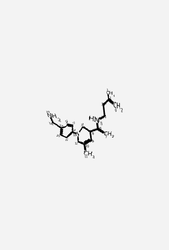 C=C(C)CCNC(=C)C1C=C(C)CN(c2ccc(CN)cc2)C1